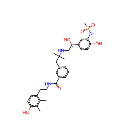 Cc1c(O)ccc(CCNC(=O)c2cccc(CC(C)(C)NC[C@@H](O)c3ccc(O)c(NS(C)(=O)=O)c3)c2)c1C